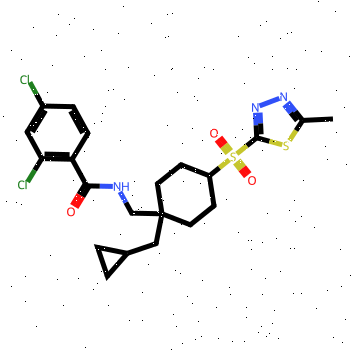 Cc1nnc(S(=O)(=O)C2CCC(CNC(=O)c3ccc(Cl)cc3Cl)(CC3CC3)CC2)s1